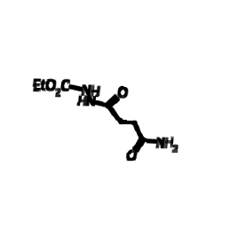 CCOC(=O)NNC(=O)CCC(N)=O